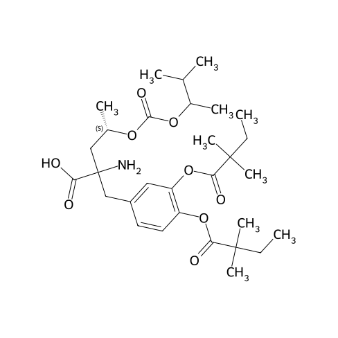 CCC(C)(C)C(=O)Oc1ccc(CC(N)(C[C@H](C)OC(=O)OC(C)C(C)C)C(=O)O)cc1OC(=O)C(C)(C)CC